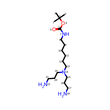 CC(C)(C)OC(=O)NCCCCCCN(CCCN)CCCN